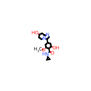 COc1cc(-c2cnc3cc(O)ccn23)cc(O)c1C(=O)NC1CC1